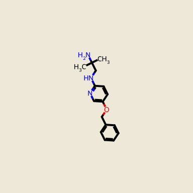 CC(C)(N)CNc1ccc(OCc2ccccc2)cn1